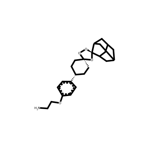 NCCOc1ccc([C@H]2CC[C@]3(CC2)OO[C@]2(O3)C3CC4CC(C3)CC2C4)cc1